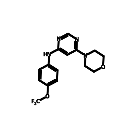 FC(F)(F)Oc1ccc(Nc2cc(N3CCOCC3)ncn2)cc1